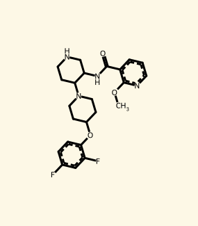 COc1ncccc1C(=O)NC1CNCCC1N1CCC(Oc2ccc(F)cc2F)CC1